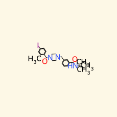 Cc1cc(I)ccc1C(=O)N1CCN(Cc2cccc(C(=O)NC(C)(C)C)c2)CC1